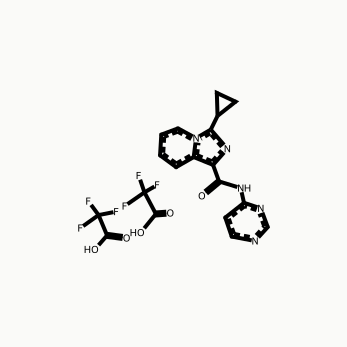 O=C(Nc1ccncn1)c1nc(C2CC2)n2ccccc12.O=C(O)C(F)(F)F.O=C(O)C(F)(F)F